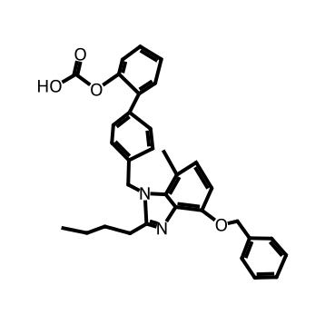 CCCCc1nc2c(OCc3ccccc3)ccc(C)c2n1Cc1ccc(-c2ccccc2OC(=O)O)cc1